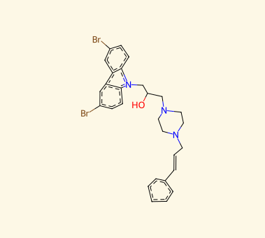 OC(CN1CCN(C/C=C/c2ccccc2)CC1)Cn1c2ccc(Br)cc2c2cc(Br)ccc21